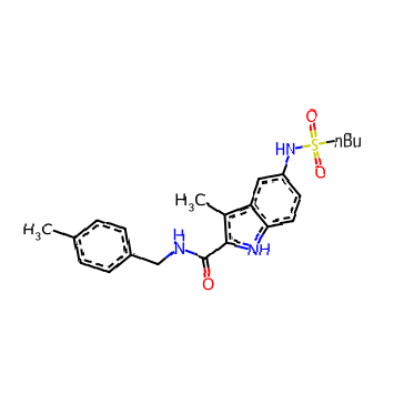 CCCCS(=O)(=O)Nc1ccc2[nH]c(C(=O)NCc3ccc(C)cc3)c(C)c2c1